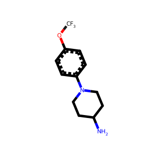 NC1CCN(c2ccc(OC(F)(F)F)cc2)CC1